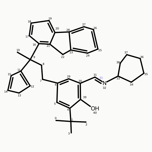 CC(C)(C)c1cc(CCC(C)(C2=CCC=C2)c2cccc3c2Cc2ccccc2-3)cc(/C=N/C2CCCCC2)c1O